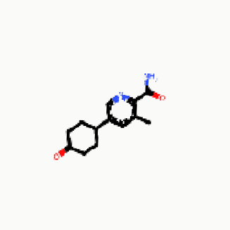 Cc1cc(C2CCC(=O)CC2)cnc1C(N)=O